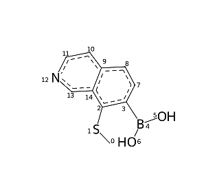 CSc1c(B(O)O)ccc2ccncc12